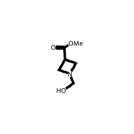 COC(=O)C1CN(CO)C1